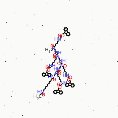 CCC(=O)NCCCCCCCCCCC(=O)NCCN(CC(=O)NCCN(CC(=O)NCCN(CC(=O)NCCN(C)C(=O)CCCCCNCC(=O)OCC1c2ccccc2-c2ccccc21)C(=O)CCCCCNCC(=O)OCC1c2ccccc2-c2ccccc21)C(=O)CCCCCNCC(=O)OCC1c2ccccc2-c2ccccc21)C(=O)CCCCCNCC(=O)OCC1c2ccccc2-c2ccccc21